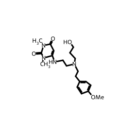 COc1ccc(CCN(CCCO)CCNc2cc(=O)n(C)c(=O)n2C)cc1